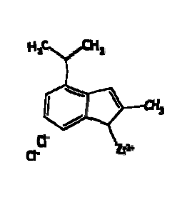 CC1=Cc2c(C(C)C)cccc2[CH]1[Zr+2].[Cl-].[Cl-]